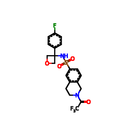 O=C(N1CCc2cc(S(=O)(=O)NC3(c4ccc(F)cc4)COC3)ccc2C1)C(F)(F)F